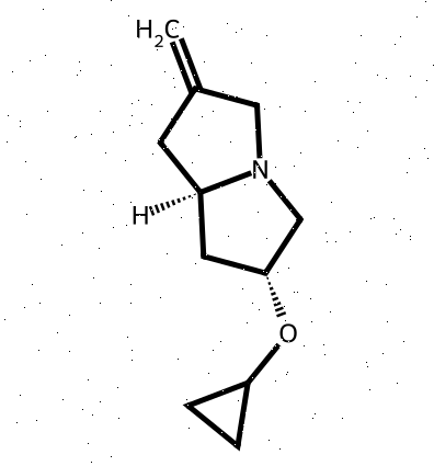 C=C1C[C@@H]2C[C@@H](OC3CC3)CN2C1